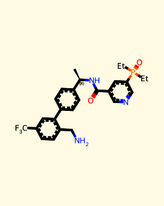 CCP(=O)(CC)c1cncc(C(=O)N[C@H](C)c2ccc(-c3cc(C(F)(F)F)ccc3CN)cc2)c1